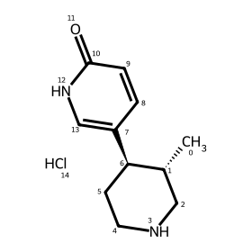 C[C@@H]1CNCC[C@H]1c1ccc(=O)[nH]c1.Cl